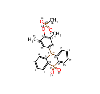 Cc1cc([S+]2c3ccccc3S(=O)(=O)c3ccccc32)cc(C)c1OS(C)(=O)=O